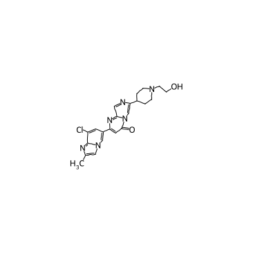 Cc1cn2cc(-c3cc(=O)n4cc(C5CCN(CCO)CC5)ncc4n3)cc(Cl)c2n1